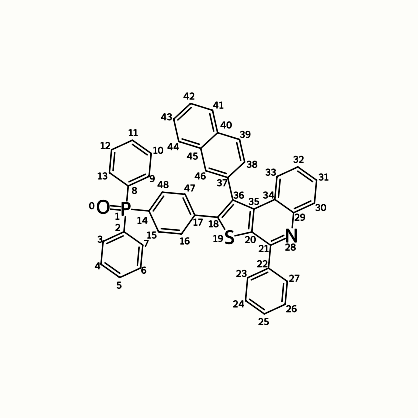 O=P(c1ccccc1)(c1ccccc1)c1ccc(-c2sc3c(-c4ccccc4)nc4ccccc4c3c2-c2ccc3ccccc3c2)cc1